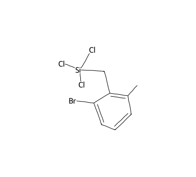 Cc1cccc(Br)c1C[Si](Cl)(Cl)Cl